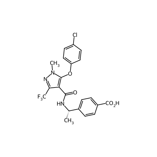 C[C@H](NC(=O)c1c(C(F)(F)F)nn(C)c1Oc1ccc(Cl)cc1)c1ccc(C(=O)O)cc1